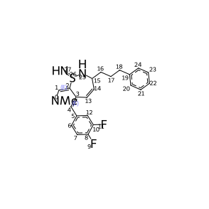 CN/C=C1\C(=C\c2ccc(F)c(F)c2)C=CC(CCCc2ccccc2)NS1=N